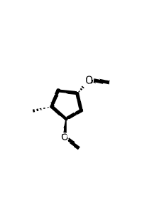 CO[C@H]1C[C@@H](C)[C@H](OC)C1